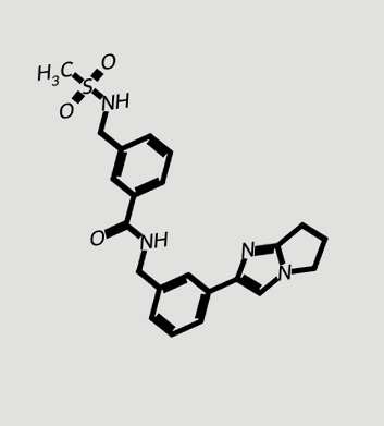 CS(=O)(=O)NCc1cccc(C(=O)NCc2cccc(-c3cn4c(n3)CCC4)c2)c1